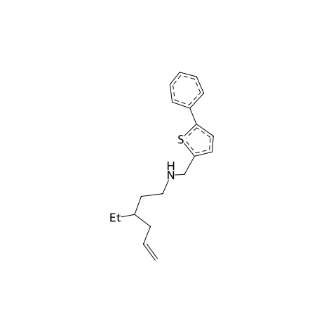 C=CCC(CC)CCNCc1ccc(-c2ccccc2)s1